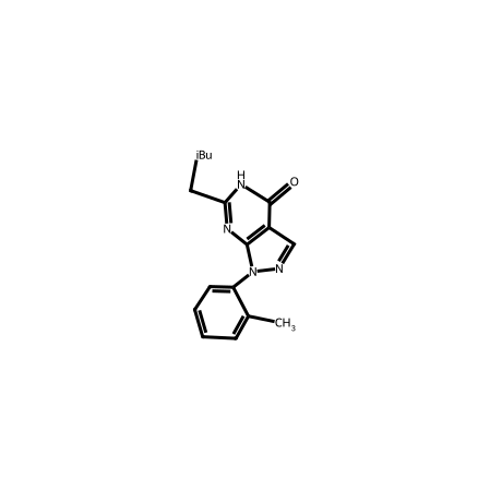 CCC(C)Cc1nc2c(cnn2-c2ccccc2C)c(=O)[nH]1